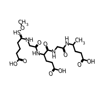 CO[SH]=C(CCCC(=O)O)NCC(=O)NC(CCC(=O)O)C(=O)NCC(=O)NC(C)CCC(=O)O